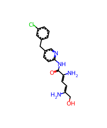 N/C(=C\C=C(/N)C(=O)Nc1ccc(Cc2cccc(Cl)c2)cn1)CO